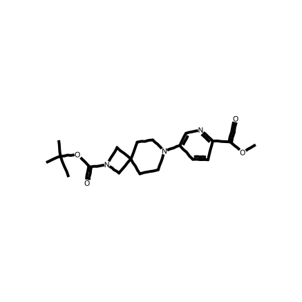 COC(=O)c1ccc(N2CCC3(CC2)CN(C(=O)OC(C)(C)C)C3)cn1